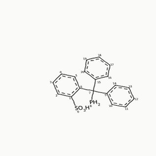 O=S(=O)(O)c1ccccc1C(P)(c1ccccc1)c1ccccc1